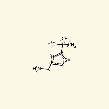 CC(C)(C)c1nc(CN)cs1